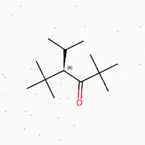 CC(C)[C@@H](C(=O)C(C)(C)C)C(C)(C)C